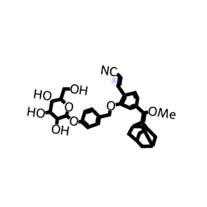 COC(=C1C2CC3CC(C2)CC1C3)c1ccc(/C=C/C#N)c(OCc2ccc(OC3OC(CO)C(O)C(O)C3O)cc2)c1